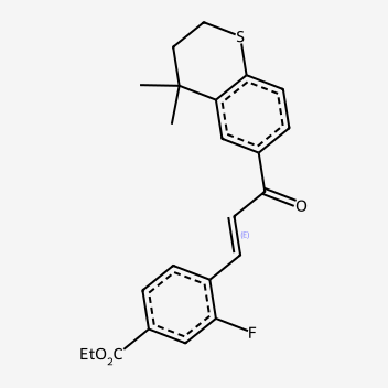 CCOC(=O)c1ccc(/C=C/C(=O)c2ccc3c(c2)C(C)(C)CCS3)c(F)c1